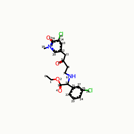 CCOC(=O)C(NCCC(=O)Cc1cc(Cl)c(=O)n(C)c1)c1cccc(Cl)c1